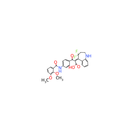 COc1cccc(C(=O)Nc2ccc(C(=O)C(C(=O)O)=C3c4ccccc4NCCC3(F)F)cc2)c1OC